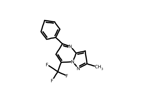 Cc1cc2nc(-c3ccccc3)cc(C(F)(F)F)n2n1